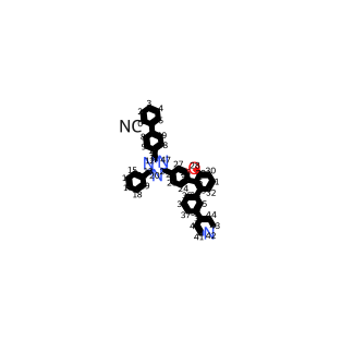 N#Cc1ccccc1-c1ccc(-c2nc(-c3ccccc3)nc(-c3ccc4c(c3)oc3cccc(-c5cccc(-c6ccncc6)c5)c34)n2)cc1